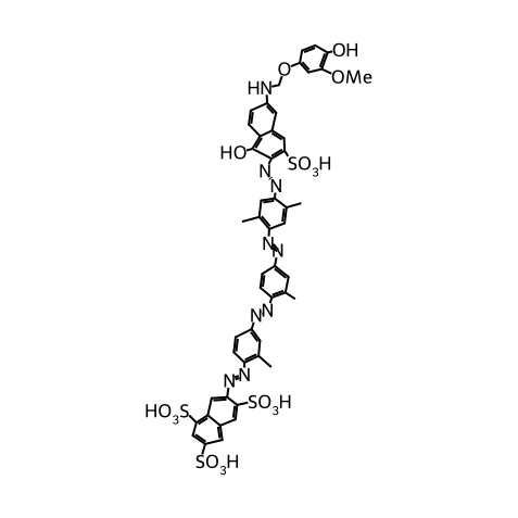 COc1cc(OCNc2ccc3c(O)c(N=Nc4cc(C)c(N=Nc5ccc(N=Nc6ccc(N=Nc7cc8c(S(=O)(=O)O)cc(S(=O)(=O)O)cc8cc7S(=O)(=O)O)c(C)c6)c(C)c5)cc4C)c(S(=O)(=O)O)cc3c2)ccc1O